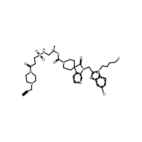 C#CCN1CCN(C(=O)CCS(=O)(=O)NC[C@@H](C)OC(=O)N2CCC3(CC2)C(=O)N(Cc2nc4cc(Cl)ccc4n2CCCCF)c2cnccc23)CC1